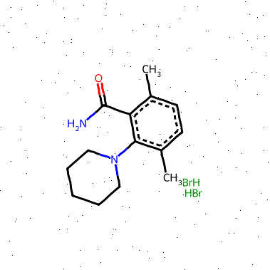 Br.Br.Cc1ccc(C)c(N2CCCCC2)c1C(N)=O